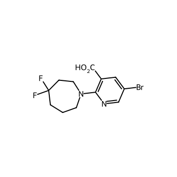 O=C(O)c1cc(Br)cnc1N1CCCC(F)(F)CC1